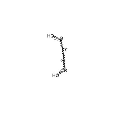 O=C(CSCSCSCC[S+]([O-])CSCSCSCSC(=O)CSCSCSCC(=O)SCSCSCCO)SCSCSCCO